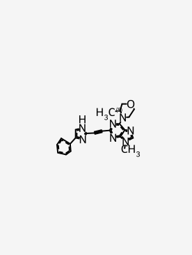 C[C@H]1COCCN1c1nc(C#Cc2nc(-c3ccccc3)c[nH]2)nc2c1ncn2C